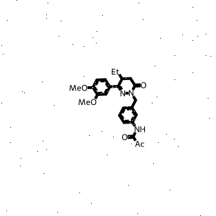 CCC1CC(=O)N(Cc2cccc(NC(=O)C(C)=O)c2)N=C1c1ccc(OC)c(OC)c1